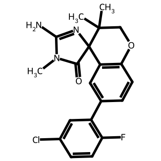 CN1C(=O)C2(N=C1N)c1cc(-c3cc(Cl)ccc3F)ccc1OCC2(C)C